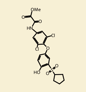 COC(=O)C(=O)Nc1cc(Cl)c(Oc2ccc(O)c(S(=O)(=O)C3CCCC3)c2)c(Cl)c1